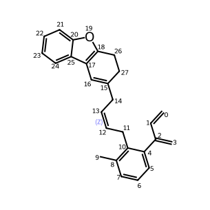 C=CC(=C)c1cccc(C)c1C/C=C\CC1=Cc2c(oc3ccccc23)CC1